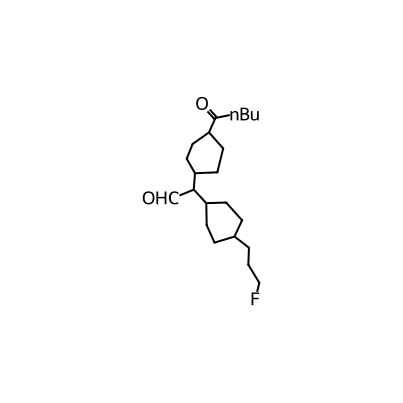 CCCCC(=O)C1CCC(C(C=O)C2CCC(CCCF)CC2)CC1